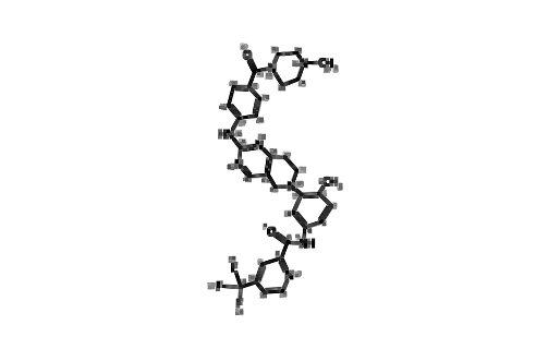 Cc1ccc(NC(=O)c2cc(C(F)(F)F)ccn2)cc1N1CCc2nc(Nc3ccc(C(=O)N4CCN(C)CC4)cc3)ncc2C1